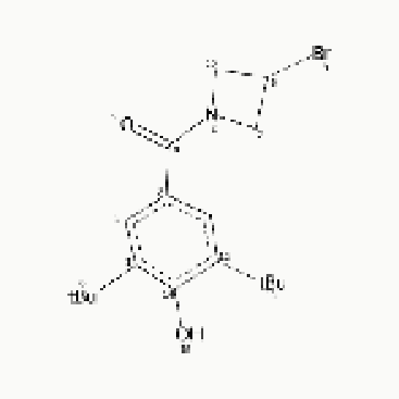 CC(C)(C)c1cc(C(=O)N2CC(Br)C2)cc(C(C)(C)C)c1O